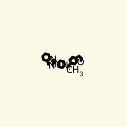 C[C@@H](c1ccc2c(c1)OCC2)N1CCN(c2ncc3c(n2)CCCC3)CC1